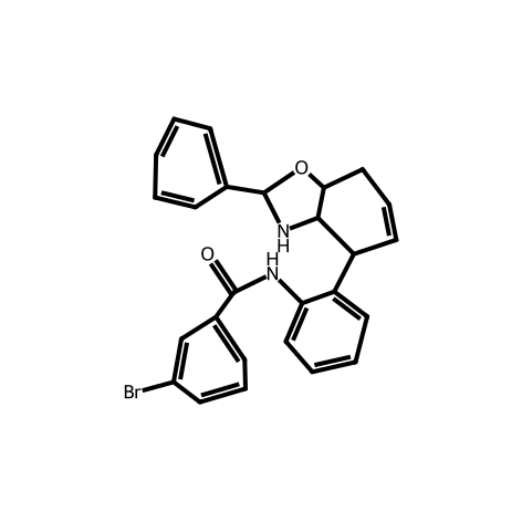 O=C(Nc1ccccc1C1C=CCC2OC(c3ccccc3)NC21)c1cccc(Br)c1